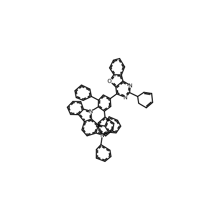 C1=CCC(c2nc(-c3cc(-c4ccccc4)c(-n4c5ccccc5c5ccc6c(c7ccccc7n6-c6ccccc6)c54)c(-c4ccccc4)c3)c3oc4ccccc4c3n2)C=C1